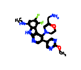 CNc1cc(F)c(F)c2c1[nH]c1ncc(-c3cnc(OC)nc3)c(N3CCOC(CN)C3)c12